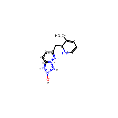 O=C(O)C1=CC=CNC1Cc1ccc2n[n+]([O-])nn2n1